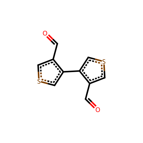 O=Cc1cscc1-c1cscc1C=O